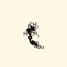 C[C@H](Nc1nccc(N2C(=O)OC[C@@H]2[C@@H](C)F)n1)c1ccc(CN2CCN(C(=O)OC(C)(C)C)CC2)cc1